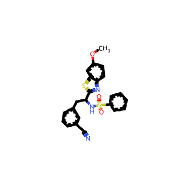 COc1ccc2nc(C(Cc3cccc(C#N)c3)NS(=O)(=O)c3ccccc3)sc2c1